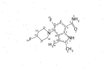 Cc1[nH]c2c(C(N)=O)cc(F)c(N3CCC(F)CC3)c2c1C